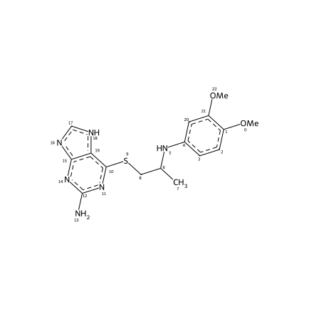 COc1ccc(NC(C)CSc2nc(N)nc3nc[nH]c23)cc1OC